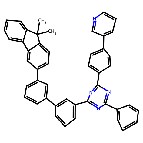 CC1(C)c2ccccc2-c2cc(-c3cccc(-c4cccc(-c5nc(-c6ccccc6)nc(-c6ccc(-c7cccnc7)cc6)n5)c4)c3)ccc21